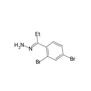 CCC(=NN)c1ccc(Br)cc1Br